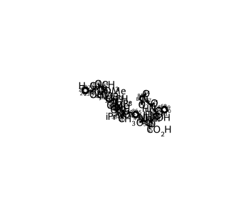 CC[C@H](C)[C@@H]([C@@H](CC(=O)N1CCC[C@H]1[C@H](OC)[C@@H](C)C(=O)N[C@H](C)[C@@H](O)c1ccccc1)OC)N(C)C(=O)[C@@H](NC(=O)[C@H](C(C)C)N(C)C(=O)OCc1ccc(NC(=O)[C@H](CCC(=O)O)NC(=O)[C@H](CO)NC(=O)[C@H](Cc2ccccc2)NC(=O)CCN2C(=O)C=CC2=O)cc1)C(C)C